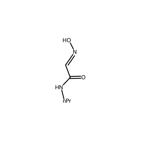 CCCNC(=O)/C=N/O